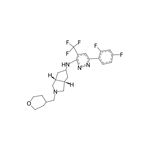 Fc1ccc(-c2cc(C(F)(F)F)c(NC3C[C@@H]4CN(CC5CCOCC5)C[C@@H]4C3)nn2)c(F)c1